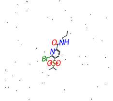 CCCNC(=O)c1ccc(S(=O)(=O)C(C)C)c(Br)n1